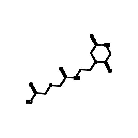 O=C(O)CSCC(=O)NCCN1CC(=O)NCC1=O